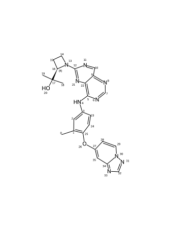 Cc1cc(Nc2ncnc3cnc(N4CC[C@@H]4C(C)(C)O)nc23)ccc1Oc1ccn2ncnc2c1